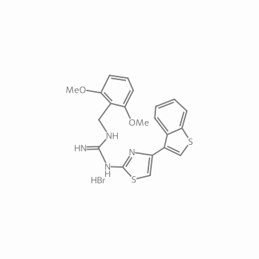 Br.COc1cccc(OC)c1CNC(=N)Nc1nc(-c2csc3ccccc23)cs1